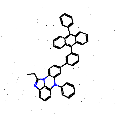 CCc1nc2cccc3c2n1-c1ccc(-c2cccc(-c4c5ccccc5c(-c5ccccc5)c5ccccc45)c2)cc1N3c1ccccc1